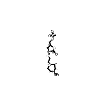 CC(C)N1CCN(CCCN2CC(COS(C)(=O)=O)OC2=O)CC1